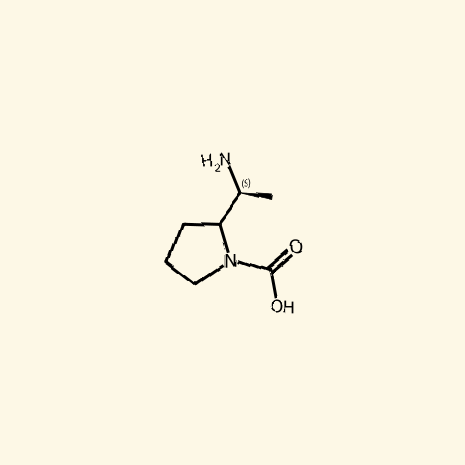 C[C@H](N)C1CCCN1C(=O)O